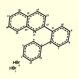 Br.Br.c1ccc(-c2ccccc2-c2ccc3ccccc3n2)cc1